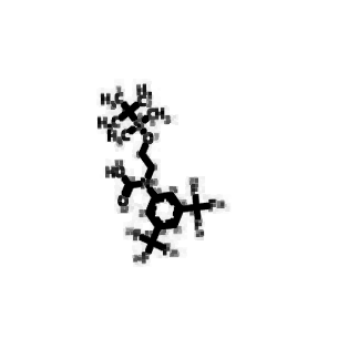 CC(C)(C)[Si](C)(C)OCCN(C(=O)O)c1cc(C(F)(F)F)cc(C(F)(F)F)c1